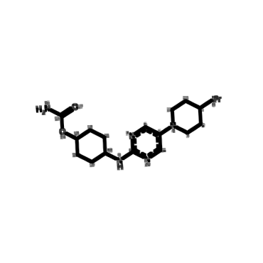 CC(C)C1CCN(c2cnc(NC3CCC(OC(N)=O)CC3)nc2)CC1